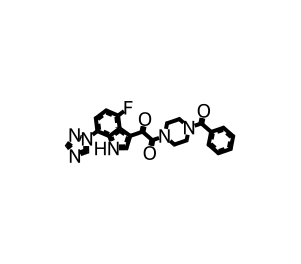 O=C(C(=O)N1CCN(C(=O)c2ccccc2)CC1)c1c[nH]c2c(-n3cncn3)ccc(F)c12